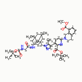 COC(=O)c1cccc2c1CN(c1ccc(-c3cnn(CC45CC6(C)CC(C)(C4)CC(NC(=O)CNC(=O)OC(C)(C)C)(C6)C5)c3C)c(C(=O)OC(C)(C)C)n1)CC2